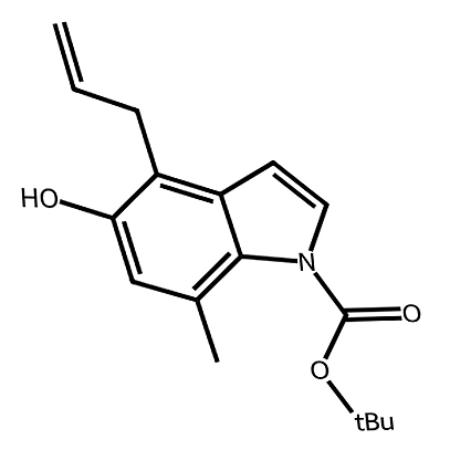 C=CCc1c(O)cc(C)c2c1ccn2C(=O)OC(C)(C)C